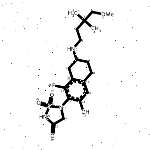 COCC(C)(C)CCNC1CCc2cc(O)c(N3CC(=O)NS3(=O)=O)c(F)c2C1